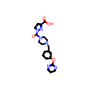 O=C(O)c1ccn(C(=O)N2CCN(Cc3cccc(Oc4ncccn4)c3)CC2)n1